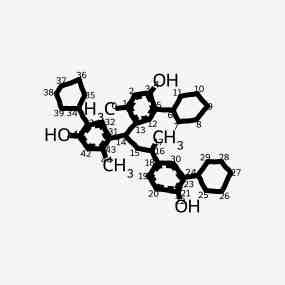 Cc1cc(O)c(C2CCCCC2)cc1C(CC(C)c1ccc(O)c(C2CCCCC2)c1)c1cc(C2CCCCC2)c(O)cc1C